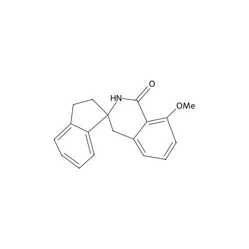 COc1cccc2c1C(=O)NC1(CCc3ccccc31)C2